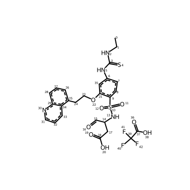 CCNC(=S)Nc1ccc(S(=O)(=O)NC(C=O)CC(=O)O)c(OCCc2cccc3ncccc23)c1.O=C(O)C(F)(F)F